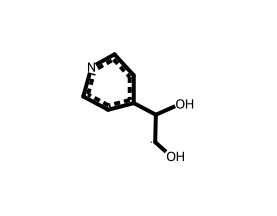 O[CH]C(O)c1ccncc1